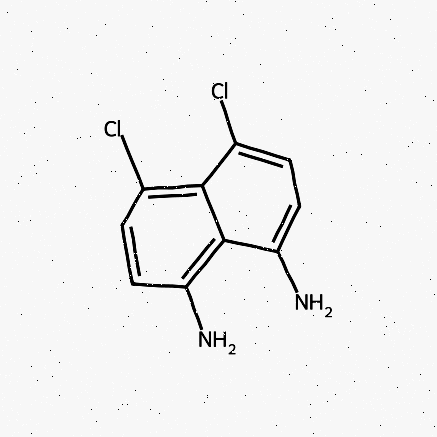 Nc1ccc(Cl)c2c(Cl)ccc(N)c12